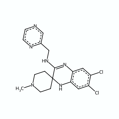 CN1CCC2(CC1)Nc1cc(Cl)c(Cl)cc1N=C2NCc1cnccn1